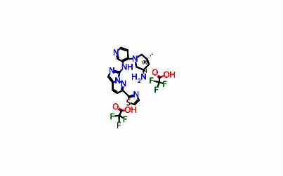 C[C@@H]1C[C@H](N)CN(c2ccncc2Nc2ncc3ccc(-c4nccs4)nn23)C1.O=C(O)C(F)(F)F.O=C(O)C(F)(F)F